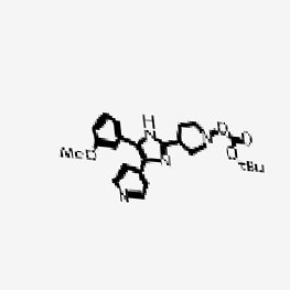 COc1cccc(-c2[nH]c(C3CCN(OC(=O)OC(C)(C)C)CC3)nc2-c2ccncc2)c1